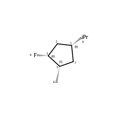 CC(C)[C@H]1C[C@@H](F)[C@@H](C)C1